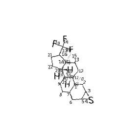 C[C@]12CC3SC3CC1CC[C@@H]1[C@H]2CC[C@]2(C)C(C(F)(F)F)CC[C@@H]12